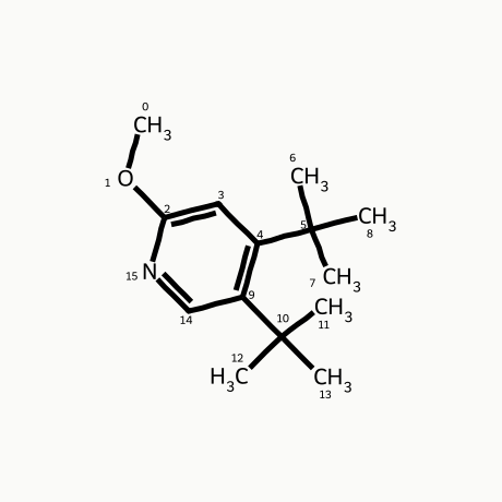 COc1cc(C(C)(C)C)c(C(C)(C)C)cn1